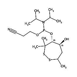 CC1C[C@H](O)[C@@H](OP(OCCC#N)N(C(C)C)C(C)C)C(C)(C)SS1